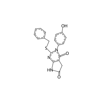 O=C1Cc2c(nc(SCc3ccccc3)n(-c3ccc(O)cc3)c2=O)N1